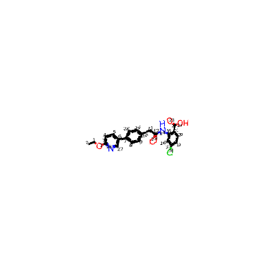 CCOc1ccc(-c2ccc(CC(=O)Nc3cc(Cl)ccc3C(=O)O)cc2)cn1